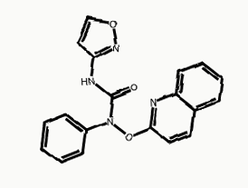 O=C(Nc1ccon1)N(Oc1ccc2ccccc2n1)c1ccccc1